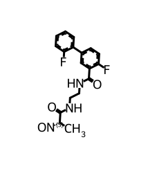 C[C@H](N=O)C(=O)NCCNC(=O)c1cc(-c2ccccc2F)ccc1F